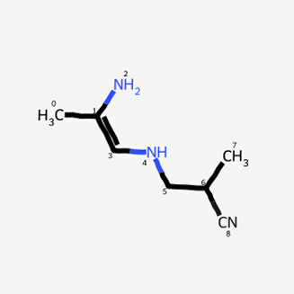 CC(N)=CNCC(C)C#N